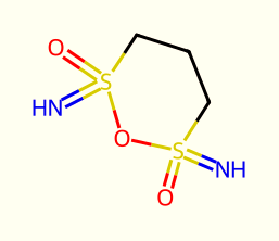 N=S1(=O)CCCS(=N)(=O)O1